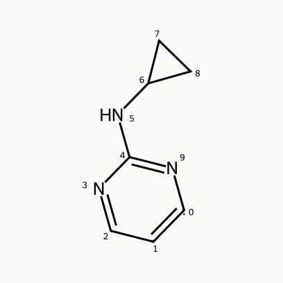 [c]1ccnc(NC2CC2)n1